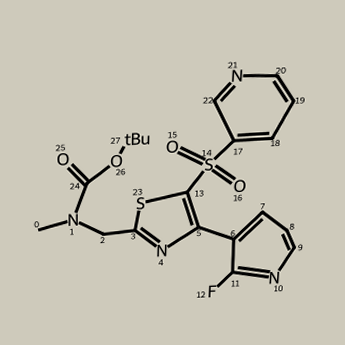 CN(Cc1nc(-c2cccnc2F)c(S(=O)(=O)c2cccnc2)s1)C(=O)OC(C)(C)C